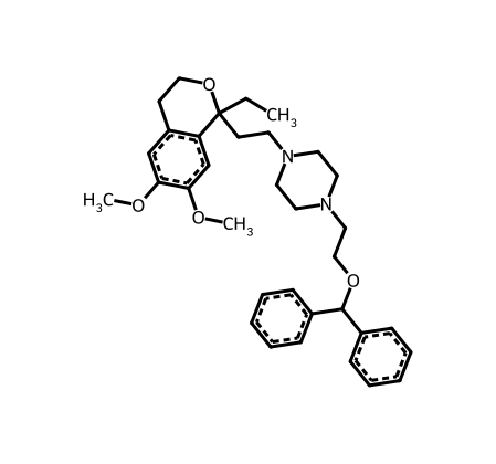 CCC1(CCN2CCN(CCOC(c3ccccc3)c3ccccc3)CC2)OCCc2cc(OC)c(OC)cc21